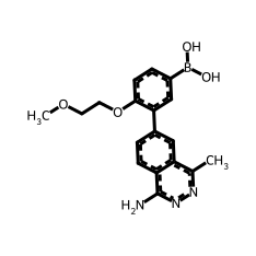 COCCOc1ccc(B(O)O)cc1-c1ccc2c(N)nnc(C)c2c1